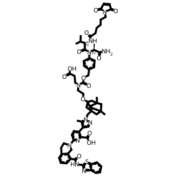 Cc1c(-c2ccc(N3CCc4cccc(C(=O)Nc5nc6ccccc6s5)c4C3)nc2C(=O)O)cnn1CC12CC3(C)CC(C)(C1)CC(OCCN(CCC(=O)O)C(=O)OCc1ccc(N(C(=O)[C@@H](NC(=O)CCCCCN4C(=O)C=CC4=O)C(C)C)[C@@H](C)C(N)=O)cc1)(C3)C2